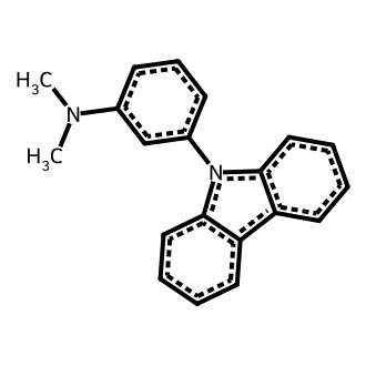 CN(C)c1cccc(-n2c3ccccc3c3ccccc32)c1